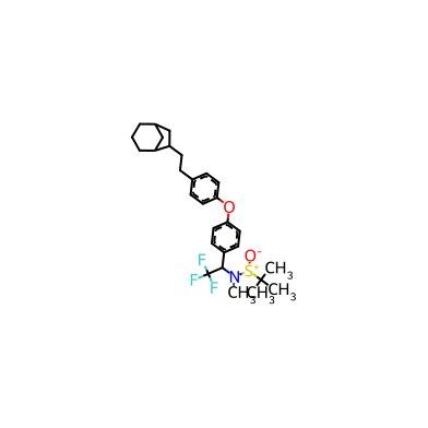 CN(C(c1ccc(Oc2ccc(CCC3CC4CCCC3C4)cc2)cc1)C(F)(F)F)[S+]([O-])C(C)(C)C